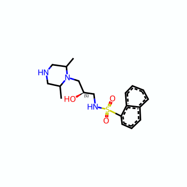 CC1CNCC(C)N1C[C@H](O)CNS(=O)(=O)c1cccc2ccccc12